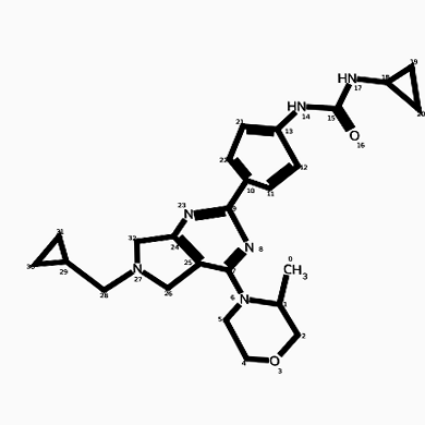 CC1COCCN1c1nc(-c2ccc(NC(=O)NC3CC3)cc2)nc2c1CN(CC1CC1)C2